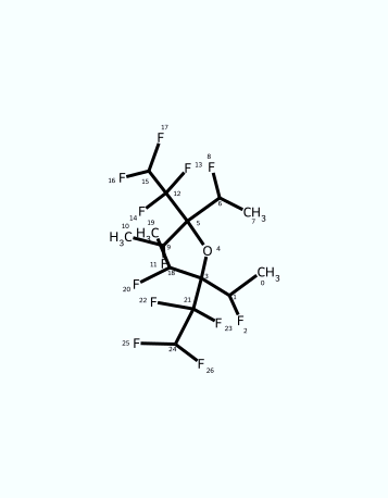 CC(F)C(OC(C(C)F)(C(C)F)C(F)(F)C(F)F)(C(C)F)C(F)(F)C(F)F